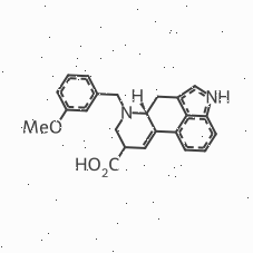 COc1cccc(CN2CC(C(=O)O)C=C3c4cccc5[nH]cc(c45)C[C@H]32)c1